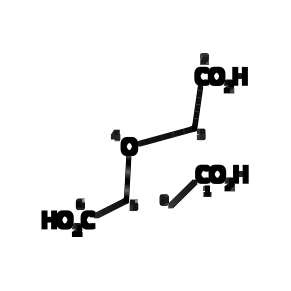 CC(=O)O.O=C(O)COCC(=O)O